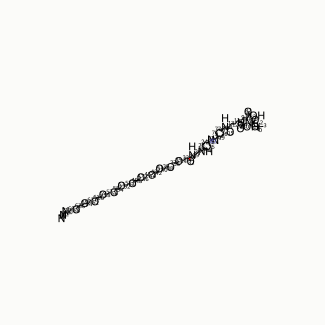 CC(C)(C)OC(=O)N[C@@H](C[C@H](CCCC(=O)Nc1ccc(/N=N/c2ccc(NCCNC(=O)CCOCCOCCOCCOCCOCCOCCOCCOCCOCCOCCOCCOCCN=[N+]=[N-])cc2)cc1)C(=O)O)C(=O)O